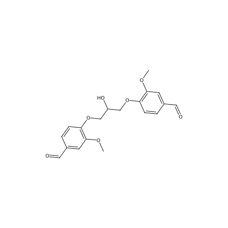 COc1cc(C=O)ccc1OCC(O)COc1ccc(C=O)cc1OC